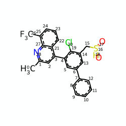 Cc1cc(-c2cc(-c3ccccc3)cc(C[SH](=O)=O)c2Cl)c2cccc(C(F)(F)F)c2n1